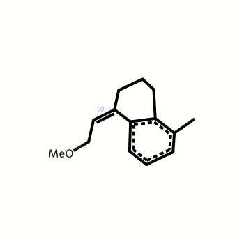 COC/C=C1/CCCc2c(C)cccc21